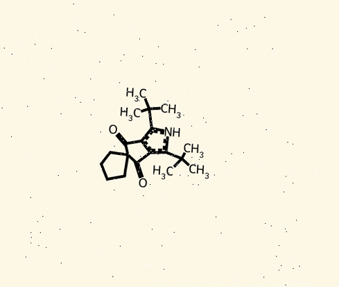 CC(C)(C)c1[nH]c(C(C)(C)C)c2c1C(=O)C1(CCCC1)C2=O